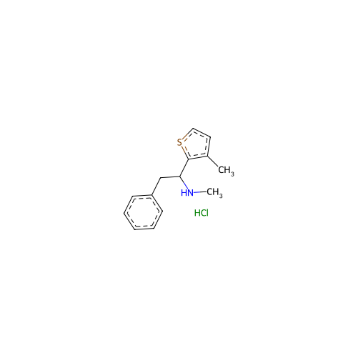 CNC(Cc1ccccc1)c1sccc1C.Cl